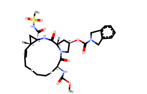 CC(C)(C)OC(=O)N[C@H]1CCCCC/C=C\[C@@H]2C[C@@]2(C(=O)NS(=O)(=O)C(C)(C)C)NC(=O)[C@@H]2C[C@@H](OC(=O)N3Cc4ccccc4C3)CN2C1=O